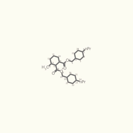 CCCC1CCC(COC(=O)C2CCCC(C)C2C(=O)OCC2CCC(CCC)CC2)CC1